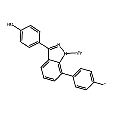 CCCn1nc(-c2ccc(O)cc2)c2cccc(-c3ccc(F)cc3)c21